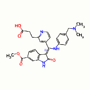 COC(=O)c1ccc2c(c1)NC(=O)/C2=C(\Nc1ccc(CN(C)C)cc1)c1ccnc(CCC(=O)O)c1